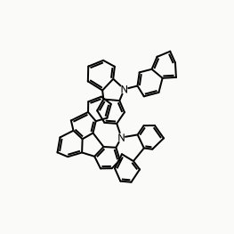 c1ccc(-c2ccccc2N(c2ccc3c4ccccc4n(-c4ccc5ccccc5c4)c3c2)c2cccc3c2-c2c4ccccc4cc4cccc-3c24)cc1